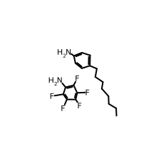 CCCCCCCCc1ccc(N)cc1.Nc1c(F)c(F)c(F)c(F)c1F